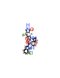 O=C1NCC[C@H]1C[C@H](NC(=O)[C@H]1N(C(=O)c2cc3cccc(Cl)c3[nH]2)CCOC12CCC2)C(=O)CF